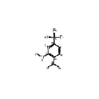 COc1nc(C(F)(F)F)ccc1C(C)C